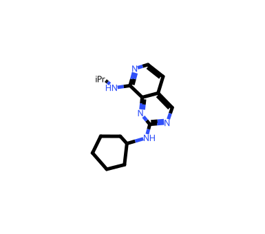 CC(C)Nc1nccc2cnc(NC3CCCCC3)nc12